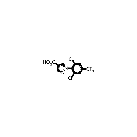 O=C(O)c1cnn(-c2c(Cl)cc(C(F)(F)F)cc2Cl)c1